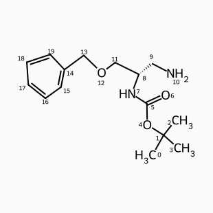 CC(C)(C)OC(=O)N[C@@H](CN)COCc1ccccc1